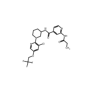 CCC(=O)Nc1cc(C(=O)NC2CCCN(c3ncc(OCC(F)(F)F)cc3Cl)C2)ccn1